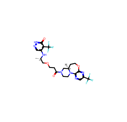 C[C@@H](COCCC(=O)N1CCN2c3ncc(C(F)(F)F)nc3OCC[C@@H]2C1)Nc1cn[nH]c(=O)c1C(F)(F)F